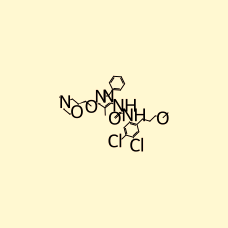 COCCCc1cc(Cl)c(Cl)cc1NC(=O)Nc1c(C)c(OC[C@@H]2CN(C)CCO2)nn1-c1ccccc1